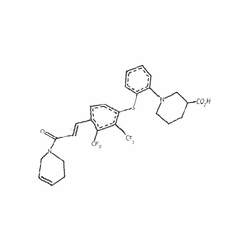 O=C(O)C1CCCN(c2ccccc2Sc2ccc(/C=C/C(=O)N3CC=CCC3)c(C(F)(F)F)c2C(F)(F)F)C1